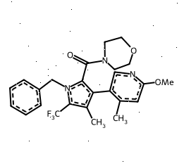 COc1cc(C)c(-c2c(C)c(C(F)(F)F)n(Cc3ccccc3)c2C(=O)N2CCOCC2)cn1